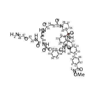 CON(C)C(=O)c1ccc(-c2ccc(C[C@@H]3NC(=O)[C@]4(Cc5ccccc5)CCCN(C4)C(=O)/C=C/C(=O)NCC[C@@H](C(=O)NCCOCCN)NC(=O)Cc4ccccc4CNC3=O)cc2)cc1